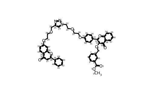 COC(=O)c1cccc(COc2c(-c3ccc(OCCOCCn4cc(COCCOc5ccc6c(=O)cc(-c7ccccc7)oc6c5)nn4)cc3)oc3ccccc3c2=O)c1